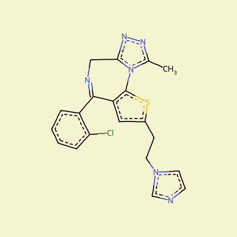 Cc1nnc2n1-c1sc(CCn3ccnc3)cc1C(c1ccccc1Cl)=NC2